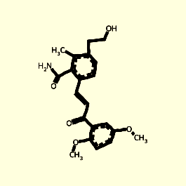 COc1ccc(OC)c(C(=O)C=Cc2ccc(CCO)c(C)c2C(N)=O)c1